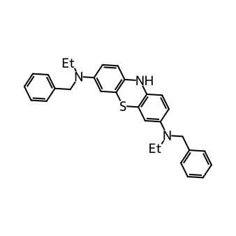 CCN(Cc1ccccc1)c1ccc2c(c1)Sc1cc(N(CC)Cc3ccccc3)ccc1N2